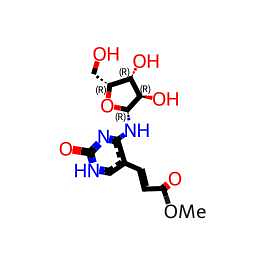 COC(=O)C=Cc1c[nH]c(=O)nc1N[C@@H]1O[C@H](CO)[C@H](O)[C@H]1O